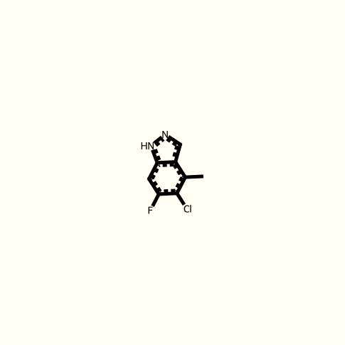 Cc1c(Cl)c(F)cc2[nH]ncc12